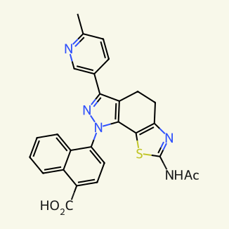 CC(=O)Nc1nc2c(s1)-c1c(c(-c3ccc(C)nc3)nn1-c1ccc(C(=O)O)c3ccccc13)CC2